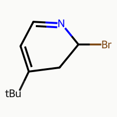 CC(C)(C)C1=CC=NC(Br)C1